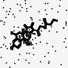 C=C1C(=C)[C@H]2[C@@H]3CC(F)C4=CC(=O)C=C[C@]4(C)[C@H]3C(O)C[C@]2(C)[C@H]1C(=O)COC(=O)CCC